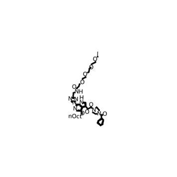 CCCCCCCCOc1cnc(-n2cnc(CNC(=O)CCOCCOCCOCCOCI)n2)c2[nH]cc(C(=O)C(=O)N3CCN(C(=O)c4ccccc4)CC3)c12